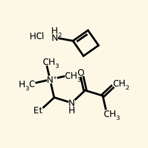 C=C(C)C(=O)NC(CC)[N+](C)(C)C.Cl.NC1=CCC1